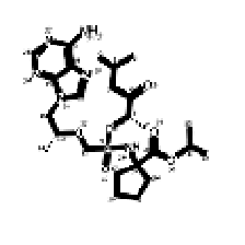 CC(C)CC(=O)[C@H](C)OP(=O)(CO[C@H](C)Cn1cnc2c(N)ncnc21)NC1(C(=O)OC(C)C)CCCC1